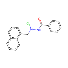 O=C(NN(Cl)Cc1cccc2ccccc12)c1ccccc1